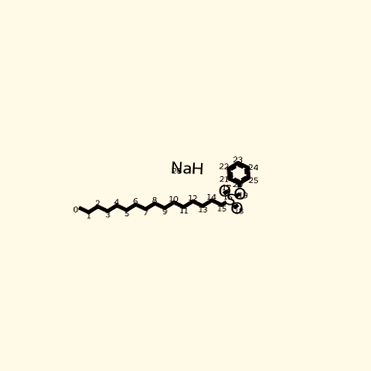 CCCCCCCCCCCCCCCCS(=O)(=O)Oc1ccccc1.[NaH]